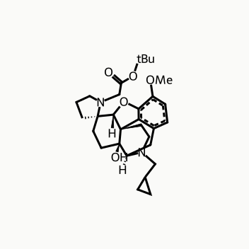 COc1ccc2c3c1O[C@H]1[C@@]4(CCCN4CC(=O)OC(C)(C)C)CC[C@@]4(O)[C@@H](C2)N(CC2CC2)CC[C@]314